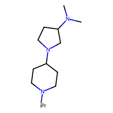 CC(C)N1CCC(N2CCC(N(C)C)C2)CC1